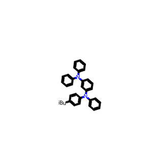 CCC(C)c1ccc(N(c2ccccc2)c2cccc(N(c3ccccc3)c3ccccc3)c2)cc1